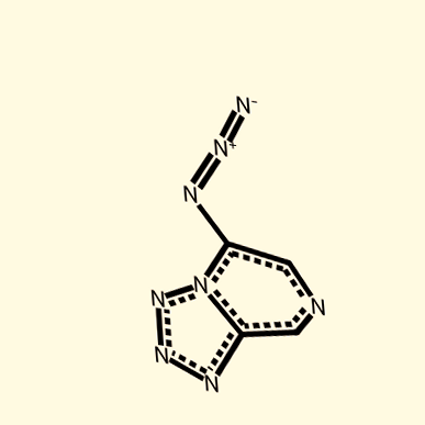 [N-]=[N+]=Nc1cncc2nnnn12